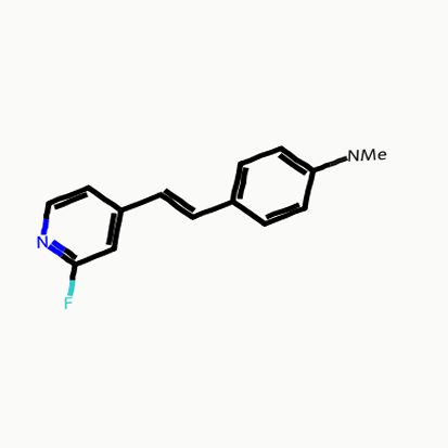 CNc1ccc(C=Cc2ccnc(F)c2)cc1